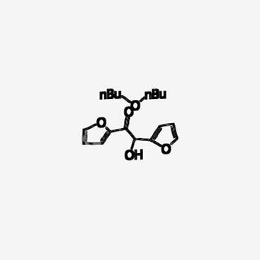 CCCCOCCCC.O=C(c1ccco1)C(O)c1ccco1